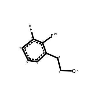 [O]CCc1cccc(F)c1F